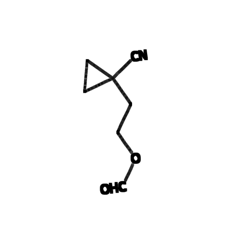 N#CC1(CCOC=O)CC1